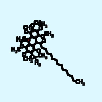 CCCCCCCCCCCCCCC(=O)C(c1c(OC)c(OC)c(OC)c(OC)c1OC)c1c(OC)c(OC)c(OC)c(OC)c1OC